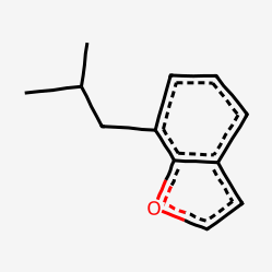 CC(C)Cc1cccc2ccoc12